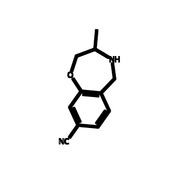 CC1COc2cc(C#N)ccc2CN1